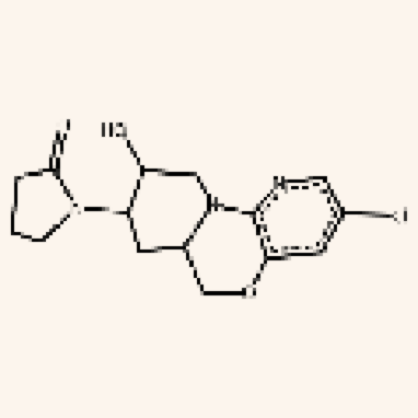 O=C1CCCN1C1CC2COc3cc(Cl)cnc3N2CC1O